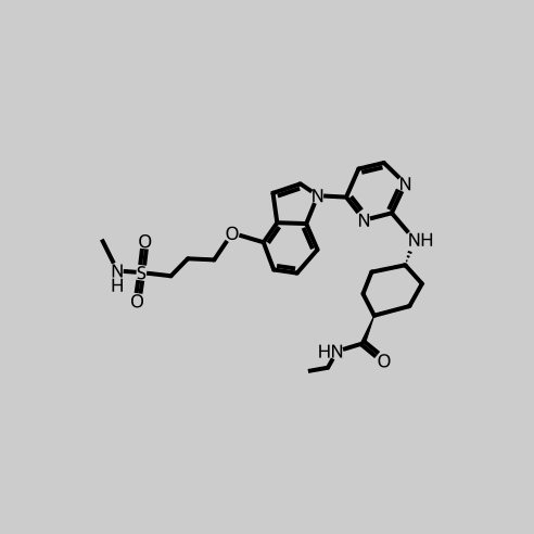 CCNC(=O)[C@H]1CC[C@H](Nc2nccc(-n3ccc4c(OCCCS(=O)(=O)NC)cccc43)n2)CC1